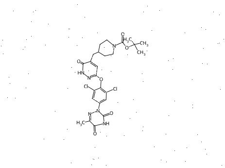 Cc1nn(-c2cc(Cl)c(Oc3cc(CC4CCN(C(=O)OC(C)(C)C)CC4)c(=O)[nH]n3)c(Cl)c2)c(=O)[nH]c1=O